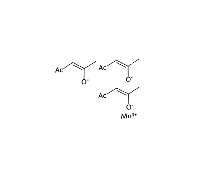 CC(=O)C=C(C)[O-].CC(=O)C=C(C)[O-].CC(=O)C=C(C)[O-].[Mn+3]